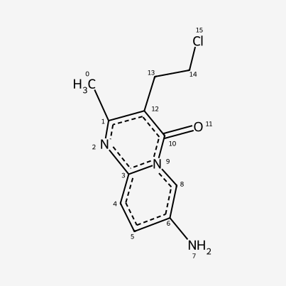 Cc1nc2ccc(N)cn2c(=O)c1CCCl